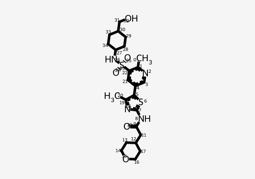 Cc1ncc(-c2sc(NC(=O)CC3CCOCC3)nc2C)cc1S(=O)(=O)NC1CCC(CO)CC1